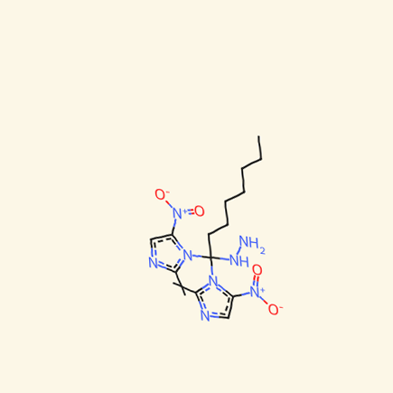 CCCCCCCC(NN)(n1c([N+](=O)[O-])cnc1C)n1c([N+](=O)[O-])cnc1C